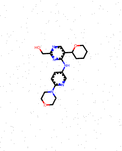 OCc1ncc(C2CCCCO2)c(Nc2ccc(N3CCOCC3)nc2)n1